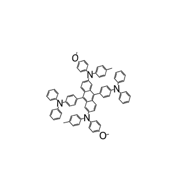 COc1ccc(N(c2ccc(C)cc2)c2ccc3c(-c4ccc(N(c5ccccc5)c5ccccc5)cc4)c4cc(N(c5ccc(C)cc5)c5ccc(OC)cc5)ccc4c(-c4ccc(N(c5ccccc5)c5ccccc5)cc4)c3c2)cc1